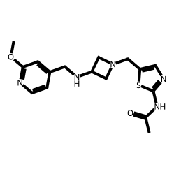 COc1cc(CNC2CN(Cc3cnc(NC(C)=O)s3)C2)ccn1